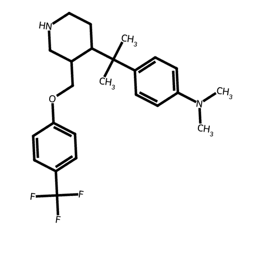 CN(C)c1ccc(C(C)(C)C2CCNCC2COc2ccc(C(F)(F)F)cc2)cc1